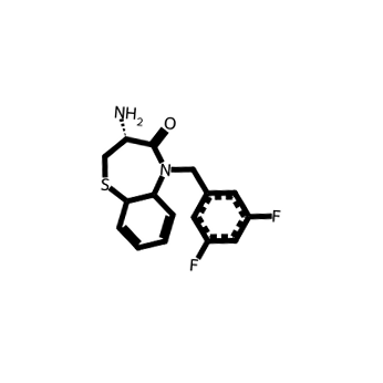 N[C@H]1CSC2C=CC=CC2N(Cc2cc(F)cc(F)c2)C1=O